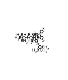 Bc1cc(C(C)(C)c2cc(B)c3c(c2)B2c4cc(C(C)(C)C)ccc4N(c4ccc(C(C)(C)C)cc4)c4cc(C)cc(c42)N3c2c(B)cc(C(C)(C)c3cc(B)c(B)c(B)c3)c(B)c2B)cc(B)c1B